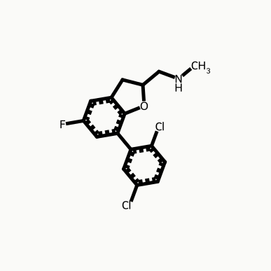 CNCC1Cc2cc(F)cc(-c3cc(Cl)ccc3Cl)c2O1